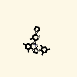 Cc1cc(C)c(-n2cc[n+](-c3c(C)cc(C)cc3C)c2/N=N/c2cnc(N3CCCC3)cc2C)c(C)c1